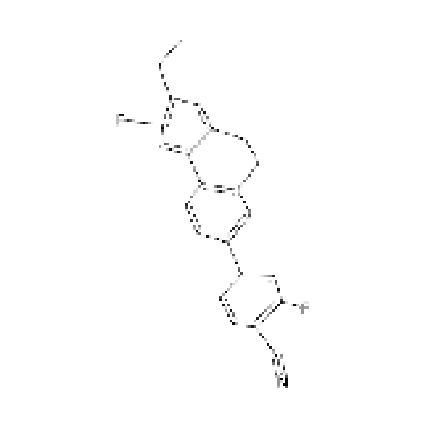 CCc1cc2c(cc1F)-c1ccc(-c3ccc(C#N)c(F)c3)cc1CC2